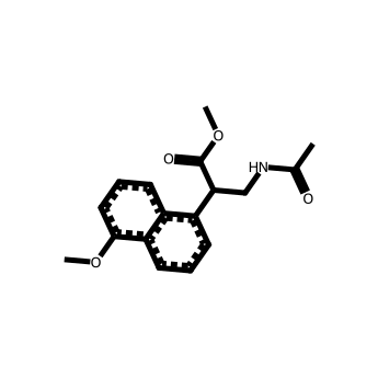 COC(=O)C(CNC(C)=O)c1cccc2c(OC)cccc12